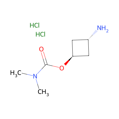 CN(C)C(=O)O[C@H]1C[C@H](N)C1.Cl.Cl